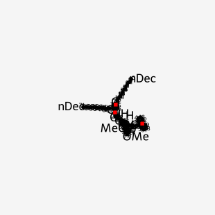 CCCCCCCCCCCCCCCCCCCCCCOc1ccc(CNC(=O)COc2ccc(C(NC(=O)OCC3c4ccccc4-c4ccccc43)c3ccc(OC)cc3OC)cc2)c(OCCCCCCCCCCCCCCCCCCCCCC)c1